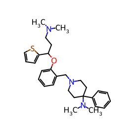 CN(C)CCC(Oc1ccccc1CN1CCC(c2ccccc2)(N(C)C)CC1)c1cccs1